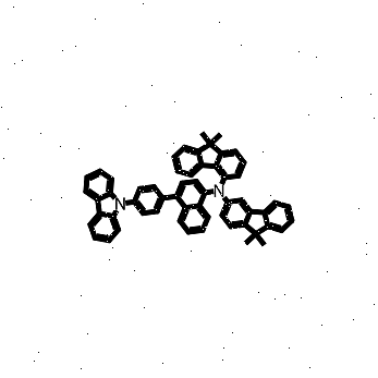 CC1(C)c2ccccc2-c2cc(N(c3cccc4c3-c3ccccc3C4(C)C)c3ccc(-c4ccc(-n5c6ccccc6c6ccccc65)cc4)c4ccccc34)ccc21